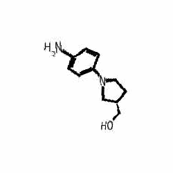 Nc1ccc(N2CC[C@@H](CO)C2)cc1